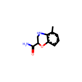 Cc1cccc2c1NCC(C(N)=O)O2